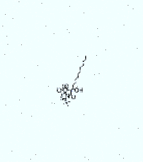 CCCCCCCCCCC/C(O)=C1/C(=O)N2[C@@H](C(C)(C)C)SC[C@]2(C(=O)OC)C1=O